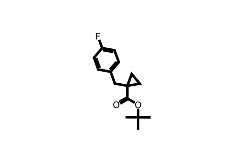 CC(C)(C)OC(=O)C1(Cc2ccc(F)cc2)CC1